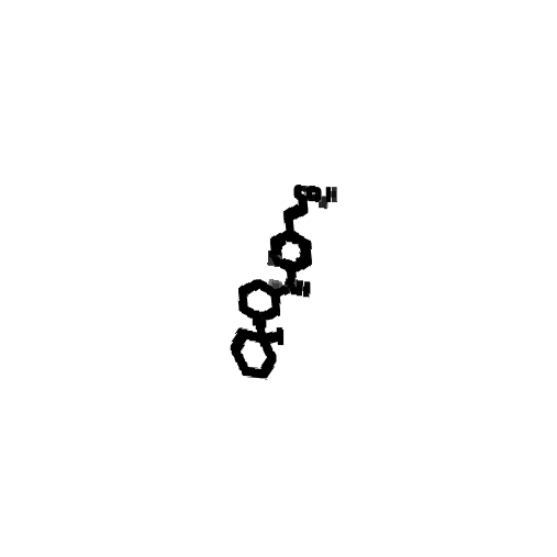 O=C(O)C=Cc1ccc(N[C@@H]2CCCN(C3(I)CCCCC3)C2)nc1